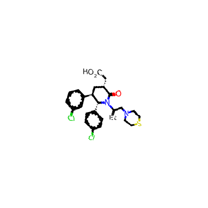 CCC(CN1CCSCC1)N1C(=O)[C@@H](CC(=O)O)C[C@H](c2cccc(Cl)c2)[C@H]1c1ccc(Cl)cc1